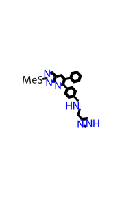 CSc1ncc2cc(-c3ccccc3)c(-c3ccc(CNCCc4c[nH]cn4)cc3)nc2n1